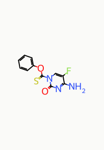 Nc1nc(=O)n(C(=S)Oc2ccccc2)cc1F